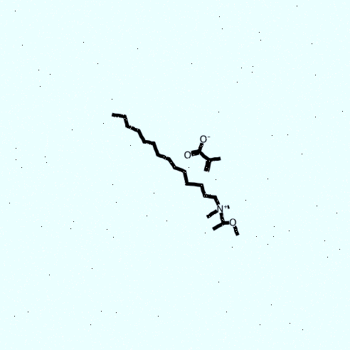 C=C(C)C(=O)[O-].CCCCCCCCCCCCCC[N+](C)(C)C(C)OC